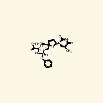 C#C[C@@]1(COP(=O)(N[C@@H](C)C(=O)O)Oc2ccccc2)C=C[C@H](n2cc(C)c(=O)[nH]c2=O)O1